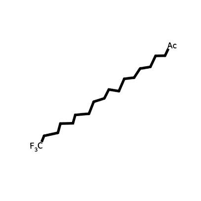 CC(=O)CCCCCCCCCCCCCCCCC(F)(F)F